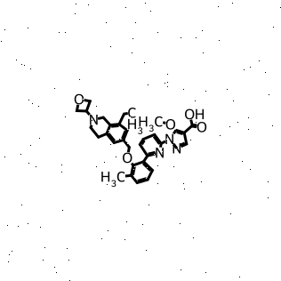 CCc1cc(COc2c(C)cccc2-c2cccc(-n3ncc(C(=O)O)c3OC)n2)cc2c1CN(C1COC1)CC2